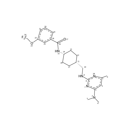 Cc1cc(N(C)C)nc(NC[C@H]2CC[C@@H](NC(=O)c3cccc(OC(F)(F)F)c3)CC2)n1